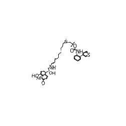 CN(CCCCCCCCCNCC(O)c1ccc(O)c2[nH]c(=O)ccc12)CCC(C)(C)OC(=O)Nc1ccccc1-c1ccsc1